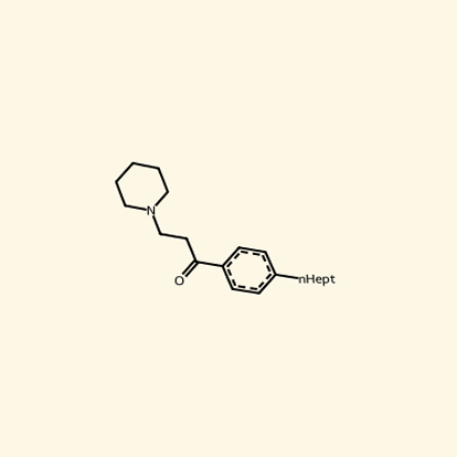 CCCCCCCc1ccc(C(=O)CCN2CCCCC2)cc1